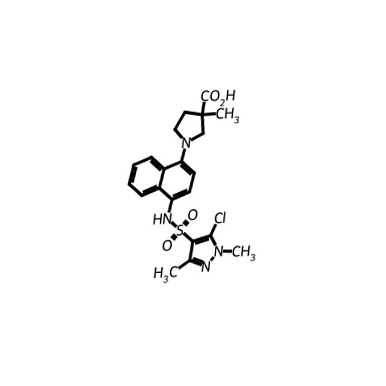 Cc1nn(C)c(Cl)c1S(=O)(=O)Nc1ccc(N2CCC(C)(C(=O)O)C2)c2ccccc12